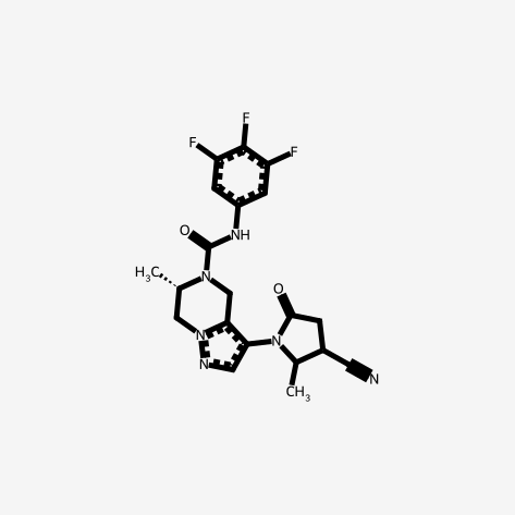 CC1C(C#N)CC(=O)N1c1cnn2c1CN(C(=O)Nc1cc(F)c(F)c(F)c1)[C@@H](C)C2